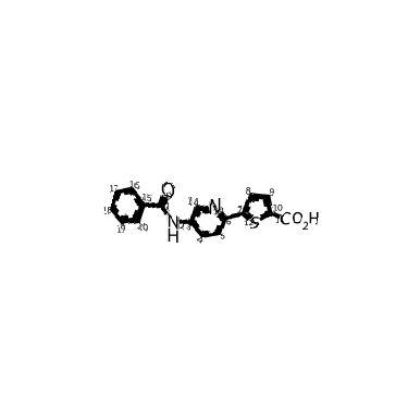 O=C(Nc1ccc(-c2ccc(C(=O)O)s2)nc1)c1ccccc1